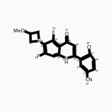 COC1CN(c2c(F)cc3[nH]c(-c4cc(C#N)ccc4Cl)cc(=O)c3c2F)C1